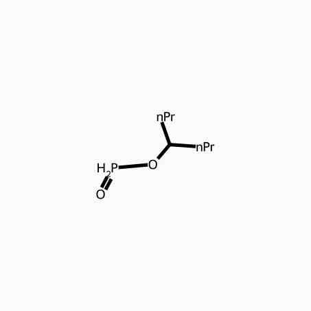 CCCC(CCC)O[PH2]=O